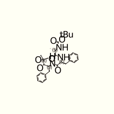 C[C@H](NC(=O)OC(C)(C)C)C(=O)N[C@@H](Cc1ccccc1)C(=O)N[C@@H](Cc1ccccc1)C(=O)[C@@]1(C)CO1